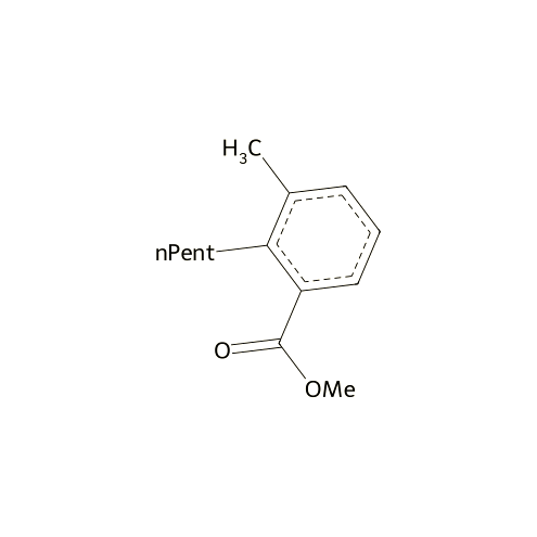 CCCCCc1c(C)cccc1C(=O)OC